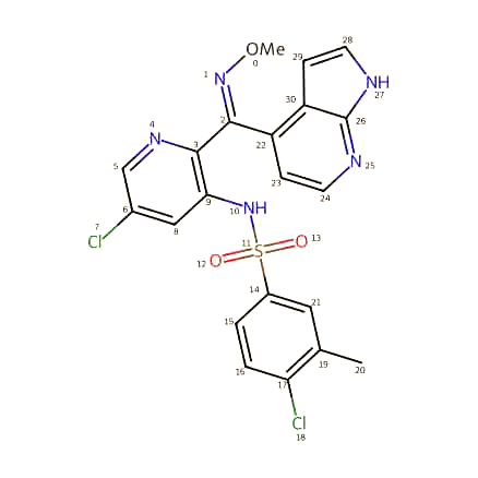 CO/N=C(/c1ncc(Cl)cc1NS(=O)(=O)c1ccc(Cl)c(C)c1)c1ccnc2[nH]ccc12